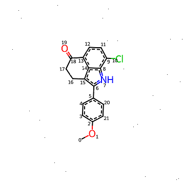 COc1ccc(-c2[nH]c3c(Cl)ccc4c3c2CCC4=O)cc1